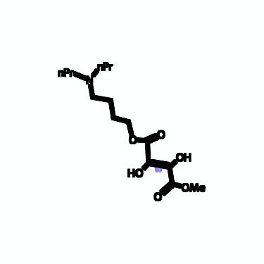 CCCN(CCC)CCCCOC(=O)/C(O)=C(\O)C(=O)OC